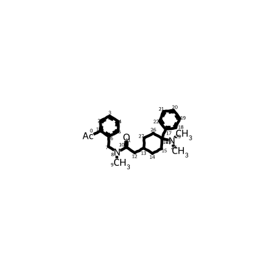 CC(=O)c1ccccc1CN(C)C(=O)CC1CCC(c2ccccc2)(N(C)C)CC1